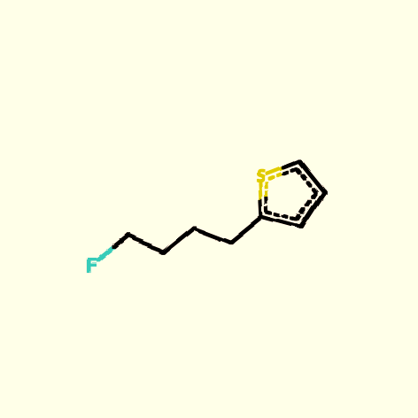 FCCCCc1cccs1